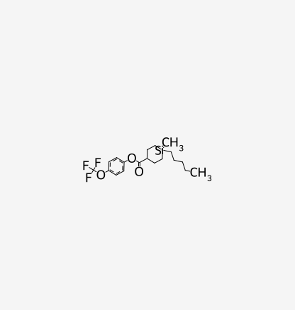 CCCCC[Si]1(C)CCC(C(=O)Oc2ccc(OC(F)(F)F)cc2)CC1